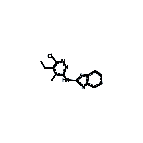 CCc1c(Cl)nnc(Nc2nc3ccccc3s2)c1C